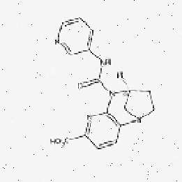 O=C(O)c1ccc2c(n1)N(C(=O)Nc1cccnc1)[C@H]1CCN2C1